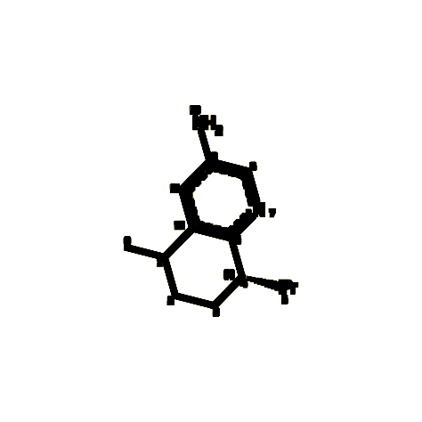 CC1CC[C@@H](C(C)C)c2ncc(N)cc21